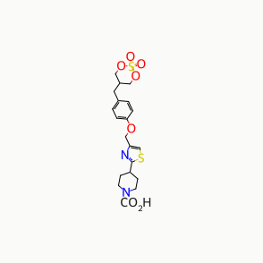 O=C(O)N1CCC(c2nc(COc3ccc(CC4COS(=O)(=O)OC4)cc3)cs2)CC1